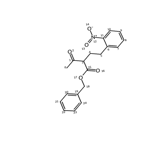 CC(=O)C(CCc1ccccc1[N+](=O)[O-])C(=O)OCc1ccccc1